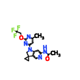 CC(=O)Nc1cc2c(cn1)C1(CC1)CN2c1cc(C)nc(OCC(F)(F)F)n1